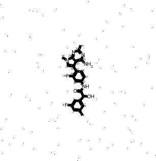 Cc1cc(F)cc(C(O)C(=O)Nc2ccc(-c3cn(C)c4nc(C)nc(N)c34)c(F)c2)c1